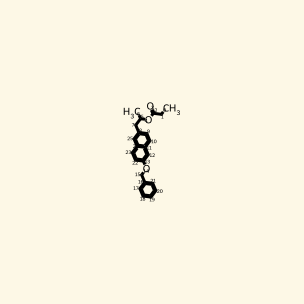 CCC(=O)OC(C)Cc1ccc2cc(OCc3ccccc3)ccc2c1